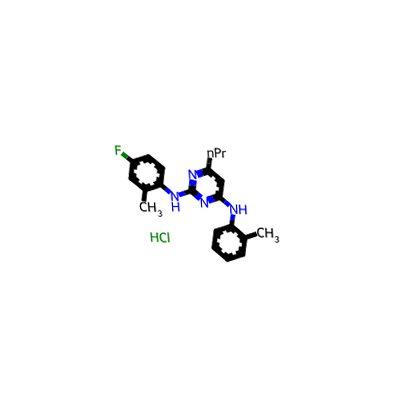 CCCc1cc(Nc2ccccc2C)nc(Nc2ccc(F)cc2C)n1.Cl